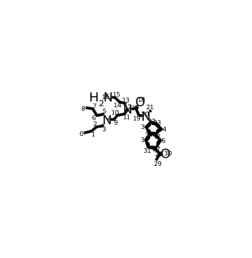 CCCCN(CCCC)CCCN(CCCN)C(=O)CN(C)c1ccc2cc(C(C)=O)ccc2c1